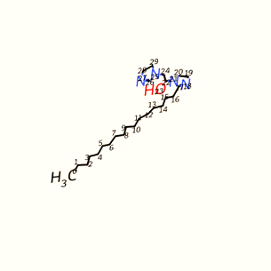 CCCCCCCCCCCCCCCCCC1=NCCN1C(O)CN1C=NCC1